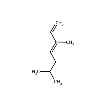 C=C/C(C)=C/CC(C)C